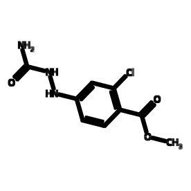 COC(=O)c1ccc(NNC(N)=O)cc1Cl